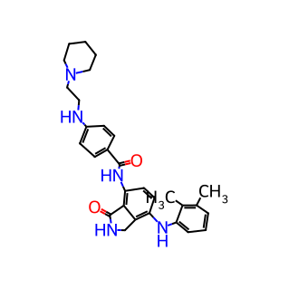 Cc1cccc(Nc2ccc(NC(=O)c3ccc(NCCN4CCCCC4)cc3)c3c2CNC3=O)c1C